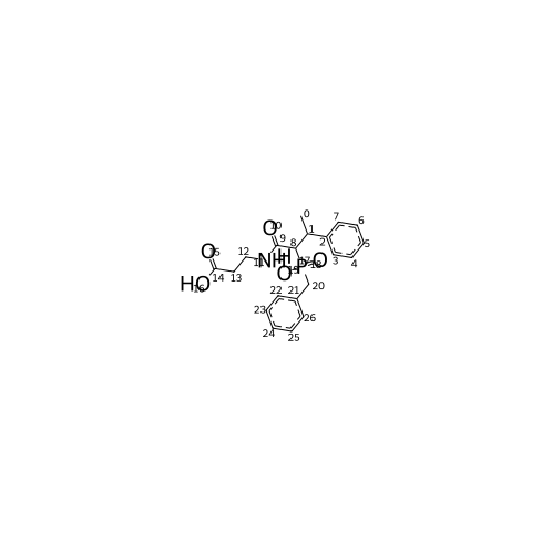 CC(c1ccccc1)C(C(=O)NCCC(=O)O)P(=O)(O)Cc1ccccc1